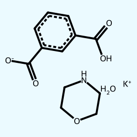 C1COCCN1.O.O=C([O-])c1cccc(C(=O)O)c1.[K+]